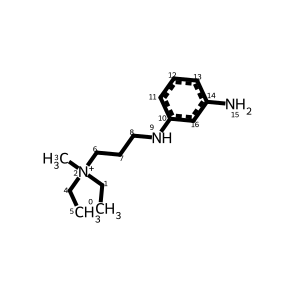 CC[N+](C)(CC)CCCNc1cccc(N)c1